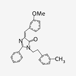 COc1cccc(/C=C2/N=C(c3ccccc3)N(CCc3cccc(C)c3)C2=O)c1